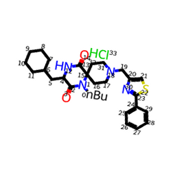 CCCCN1C(=O)C(CC2CCCCC2)NC(=O)C12CCN(Cc1csc(-c3ccccc3)n1)CC2.Cl